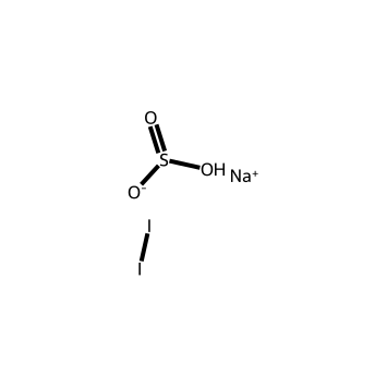 II.O=S([O-])O.[Na+]